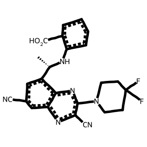 C[C@H](Nc1ccccc1C(=O)O)c1cc(C#N)cc2nc(C#N)c(N3CCC(F)(F)CC3)nc12